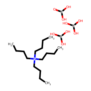 CCCC[N+](CCCC)(CCCC)CCCC.OB(O)O.OB(O)O.[O-]B(O)O